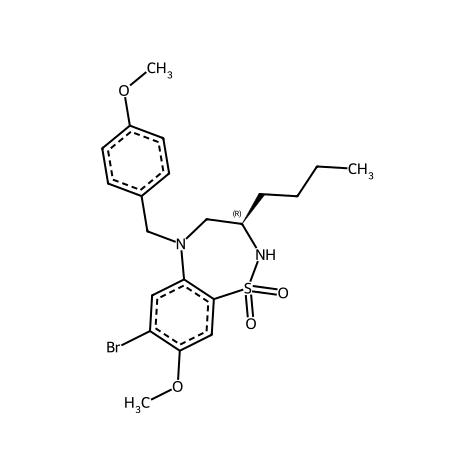 CCCC[C@@H]1CN(Cc2ccc(OC)cc2)c2cc(Br)c(OC)cc2S(=O)(=O)N1